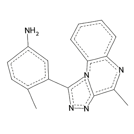 Cc1ccc(N)cc1-c1nnc2c(C)nc3ccccc3n12